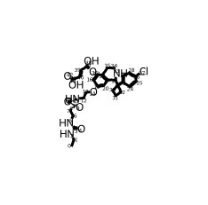 CCNC(=O)NCCS(=O)(=O)NCCOc1ccc2c(c1)C(C1(c3ccc(Cl)cc3)CCC1)NCC2.O=C(O)C=CC(=O)O